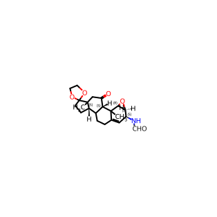 CC12C(=C[C@H](NC=O)[C@@H]3O[C@@H]31)CCC1[C@@H]2C(=O)CC2(C)[C@H]1CCC21OCCO1